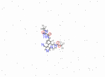 Cc1cc(-c2c(C#N)cncc2N2CCN(C(=O)OC(C)(C)C)CC2)ccc1CNC(=O)c1noc(C(C)(C)C)n1